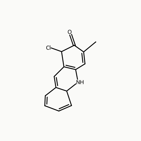 CC1=CC2=C(C=C3C=CC=CC3N2)C(Cl)C1=O